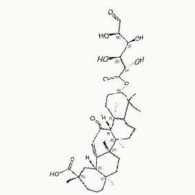 CC1(C)C2CC[C@]3(C)[C@H](C(=O)C=C4[C@H]5C[C@@](C)(C(=O)O)CC[C@]5(C)CC[C@]43C)[C@@]2(C)CC[C@@H]1OC(=O)[C@@H](O)[C@@H](O)[C@H](O)[C@@H](O)C=O